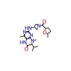 Cc1nc(NC2CN(C(=O)C3CCC(C)O3)C2)nc2c1NC(=O)C(C(C)C)N2C